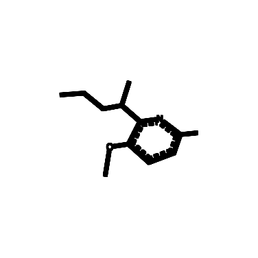 CCCC(C)c1nc(C)ccc1OC